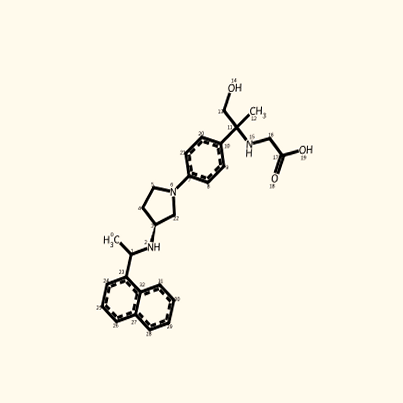 CC(N[C@H]1CCN(c2ccc(C(C)(CO)NCC(=O)O)cc2)C1)c1cccc2ccccc12